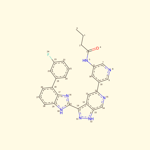 CCCC(=O)Nc1cncc(-c2cc3c(-c4nc5c(-c6cccc(F)c6)cccc5[nH]4)n[nH]c3cn2)c1